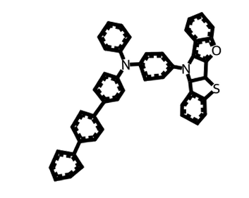 c1ccc(-c2ccc(-c3ccc(N(c4ccccc4)c4ccc(N5c6c(oc7ccccc67)C6Sc7ccccc7C65)cc4)cc3)cc2)cc1